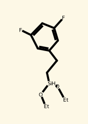 CCO[SiH](CCc1cc(F)cc(F)c1)OCC